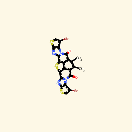 Cc1c(C)c2c(=O)n3c(nc4scc(Br)c43)c3sc4c(c1c(=O)n1c4nc4scc(Br)c41)c23